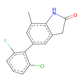 Cc1cc(-c2c(F)cccc2Cl)cc2c1NC(=O)C2